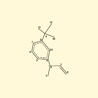 C=C[C](C)c1cccc(C(C)(C)C)c1